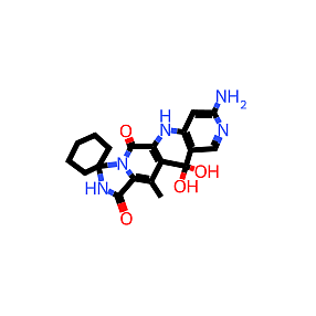 Cc1c2c(c(=O)n3c1C(=O)NC31CCCCC1)Nc1cc(N)ncc1C2(O)O